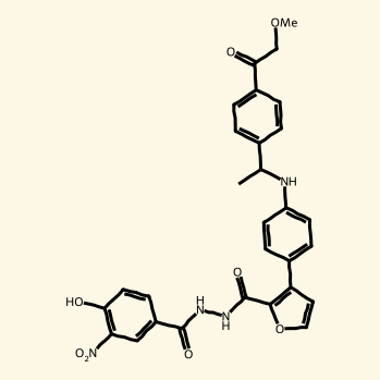 COCC(=O)c1ccc(C(C)Nc2ccc(-c3ccoc3C(=O)NNC(=O)c3ccc(O)c([N+](=O)[O-])c3)cc2)cc1